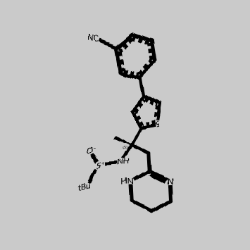 CC(C)(C)[S+]([O-])N[C@@](C)(CC1=NCCCN1)c1cc(-c2cccc(C#N)c2)cs1